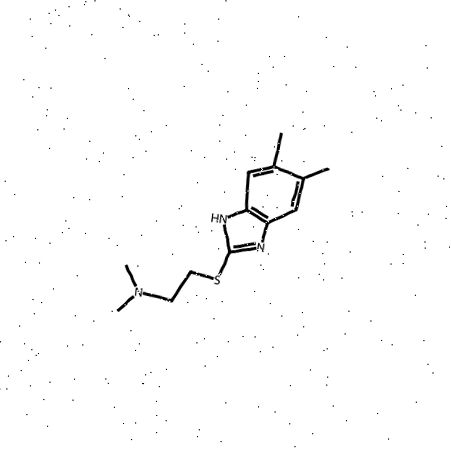 Cc1cc2nc(SCCN(C)C)[nH]c2cc1C